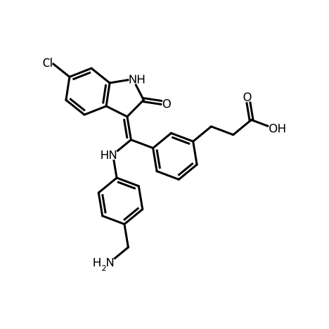 NCc1ccc(NC(=C2C(=O)Nc3cc(Cl)ccc32)c2cccc(CCC(=O)O)c2)cc1